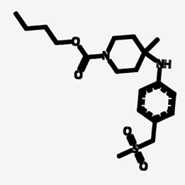 CCCCOC(=O)N1CCC(C)(Nc2ccc(CS(C)(=O)=O)cc2)CC1